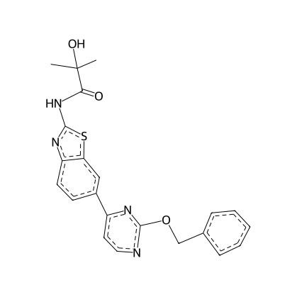 CC(C)(O)C(=O)Nc1nc2ccc(-c3ccnc(OCc4ccccc4)n3)cc2s1